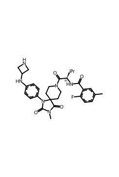 Cc1ccc(F)c(C(=O)N[C@@H](C(=O)N2CCC3(CC2)C(=O)N(C)C(=O)N3c2ccc(NC3CNC3)cc2)C(C)C)c1